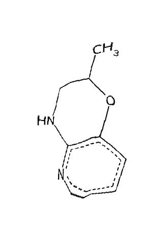 CC1CNc2ncccc2O1